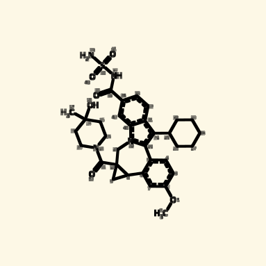 COc1ccc2c(c1)C1CC1(C(=O)N1CCC(C)(O)CC1)Cn1c-2c(C2CCCCC2)c2ccc(C(=O)NS(N)(=O)=O)cc21